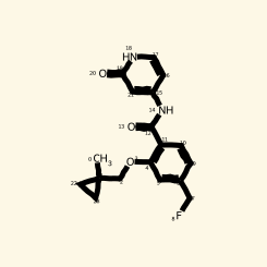 CC1(COc2cc(CF)ccc2C(=O)Nc2cc[nH]c(=O)c2)CC1